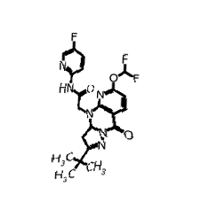 CC(C)(C)C1=NN2C(=O)c3ccc(OC(F)F)nc3N(CC(=O)Nc3ccc(F)cn3)C2C1